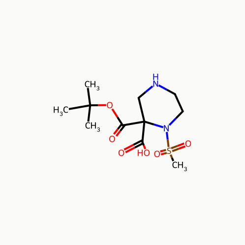 CC(C)(C)OC(=O)C1(C(=O)O)CNCCN1S(C)(=O)=O